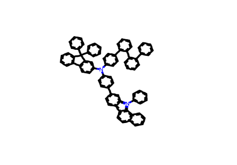 c1ccc(-c2ccccc2-c2ccccc2-c2ccc(N(c3ccc(-c4ccc5c6ccc7ccccc7c6n(-c6ccccc6)c5c4)cc3)c3ccc4c(c3)C(c3ccccc3)(c3ccccc3)c3ccccc3-4)cc2)cc1